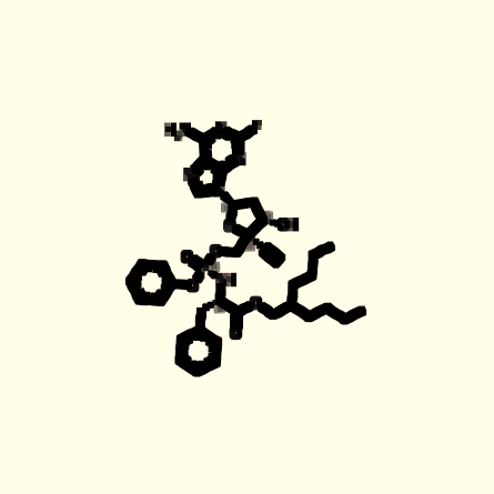 C#C[C@]1(CO[P@@](=O)(N[C@@H](Cc2ccccc2)C(=O)OCC(CCCC)CCCC)Oc2ccccc2)O[C@@H](n2cnc3c(N)nc(F)nc32)C[C@@H]1O